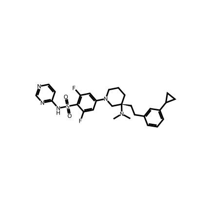 CN(C)[C@@]1(CCc2cccc(C3CC3)c2)CCCN(c2cc(F)c(S(=O)(=O)Nc3ccncn3)c(F)c2)C1